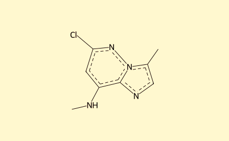 CNc1cc(Cl)nn2c(C)cnc12